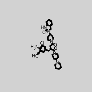 C#Cc1cc(C[C@@H](CC(=O)N2CCC(N3Cc4ccccc4NC3=O)CC2)C(=O)N2CCC(N3CCCCC3)CC2)cc(Cl)c1N